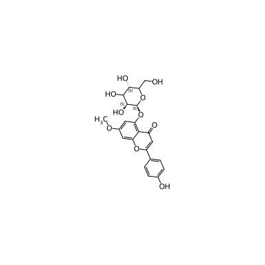 COc1cc(O[C@@H]2OC(CO)[C@@H](O)C(O)[C@@H]2O)c2c(=O)cc(-c3ccc(O)cc3)oc2c1